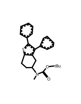 CN(C(=O)OC(C)(C)C)C1CCc2sc(-c3ccccc3)c(-c3ccccc3)c2C1